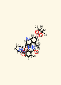 Cc1ccc(N2CC3CCC(C2)N3C(=O)OC(C)(C)C)cc1C(=O)NC1(c2cc(B3OC(C)(C)C(C)(C)O3)cc3ncccc23)CC1